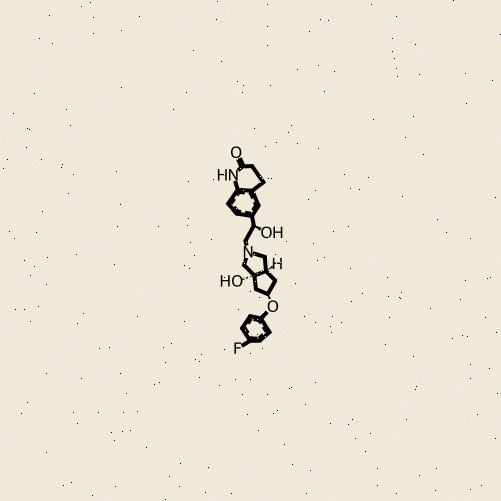 O=C1CCc2cc([C@@H](O)CN3C[C@H]4C[C@H](Oc5ccc(F)cc5)C[C@@]4(O)C3)ccc2N1